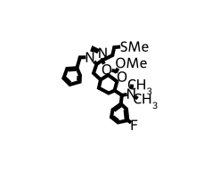 COC(=O)OC1(CCSC)N=CN(Cc2ccccc2)C1CC1CCC(C(c2cccc(F)c2)N(C)C)CC1